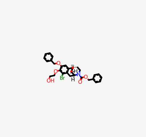 O=C(OCc1ccccc1)N1CC[C@@]23CCCC[C@@H]2[C@@H]1Cc1c3cc(OCc2ccccc2)c(OCCO)c1Br